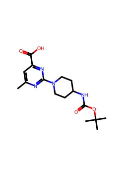 Cc1cc(C(=O)O)nc(N2CCC(NC(=O)OC(C)(C)C)CC2)n1